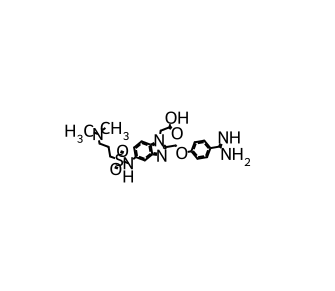 CN(C)CCCS(=O)(=O)Nc1ccc2c(c1)nc(COc1ccc(C(=N)N)cc1)n2CC(=O)O